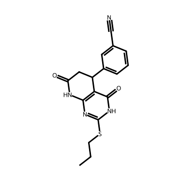 CCCSc1nc2c(c(=O)[nH]1)C(c1cccc(C#N)c1)CC(=O)N2